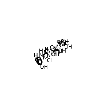 O=P(O)(O)CP(=O)(O)OC[C@H]1OC(n2ncc3c(NC4C5CC6C[C@H]4CC(O)(C6)C5)nc(Cl)nc32)[C@H](O)[C@@]1(O)CO